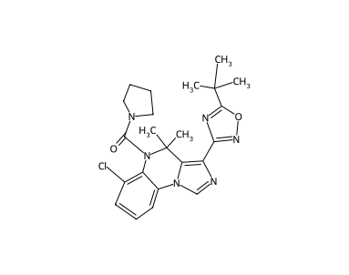 CC(C)(C)c1nc(-c2ncn3c2C(C)(C)N(C(=O)N2CCCC2)c2c(Cl)cccc2-3)no1